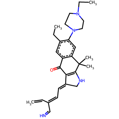 C=C/C(C=N)=C\C=C1/CNC2=C1C(=O)c1cc(CC)c(N3CCN(CC)CC3)cc1C2(C)C